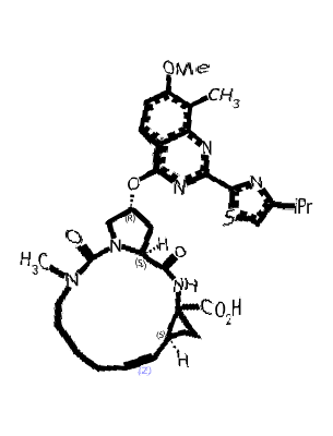 COc1ccc2c(O[C@@H]3C[C@H]4C(=O)NC5(C(=O)O)C[C@H]5/C=C\CCCCN(C)C(=O)N4C3)nc(-c3nc(C(C)C)cs3)nc2c1C